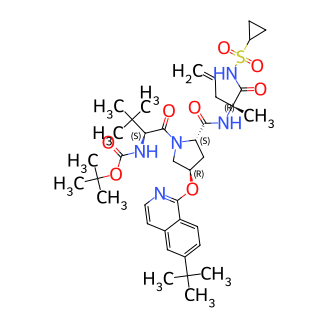 C=CC[C@@](C)(NC(=O)[C@@H]1C[C@@H](Oc2nccc3cc(C(C)(C)C)ccc23)CN1C(=O)[C@@H](NC(=O)OC(C)(C)C)C(C)(C)C)C(=O)NS(=O)(=O)C1CC1